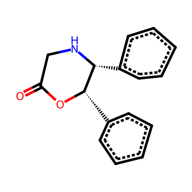 O=C1CN[C@H](c2ccccc2)[C@H](c2ccccc2)O1